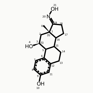 C[C@]12C[C@H](O)C3c4ccc(O)cc4CCC3C1CCC2=NO